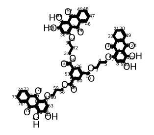 O=C(OCCCOc1cc(O)c(O)c2c1C(=O)C1=C(C=CCC1)C2=O)c1cc(C(=O)OCCCOc2cc(O)c(O)c3c2C(=O)c2ccccc2C3=O)cc(C(=O)OCCCOc2cc(O)c(O)c3c2C(=O)c2ccccc2C3=O)c1